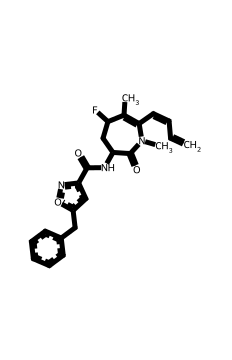 C=C/C=C\C1=C(C)C(F)CC(NC(=O)c2cc(Cc3ccccc3)on2)C(=O)N1C